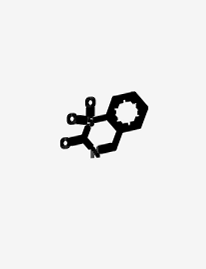 O=C1N=Cc2ccccc2S1(=O)=O